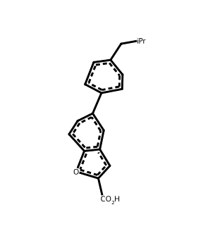 CC(C)Cc1ccc(-c2ccc3oc(C(=O)O)cc3c2)cc1